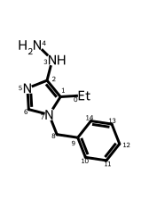 [CH2]Cc1c(NN)ncn1Cc1ccccc1